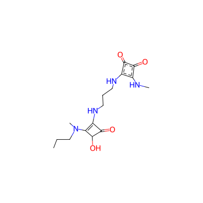 CCCN(C)C1=C(NCCCNc2c(NC)c(=O)c2=O)C(=O)C1O